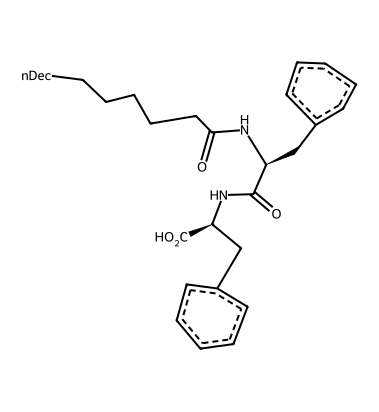 CCCCCCCCCCCCCCCC(=O)N[C@@H](Cc1ccccc1)C(=O)N[C@@H](Cc1ccccc1)C(=O)O